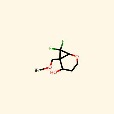 CC(C)OCC12C(O)CCOC1C2(F)F